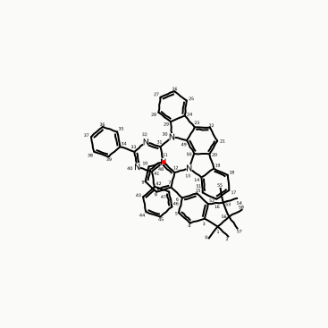 CC1(C)c2ccc(-c3ccccc3-n3c4ccccc4c4ccc5c6ccccc6n(-c6nc(-c7ccccc7)nc(-c7ccccc7)n6)c5c43)cc2C(C)(C)C1(C)C